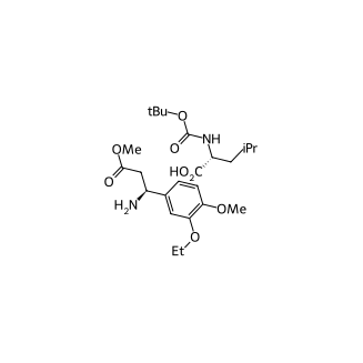 CC(C)C[C@@H](NC(=O)OC(C)(C)C)C(=O)O.CCOc1cc([C@@H](N)CC(=O)OC)ccc1OC